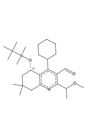 COC(C)c1nc2c(c(C3CCCCC3)c1C=O)[C@@H](O[Si](C)(C)C(C)(C)C)CC(C)(C)C2